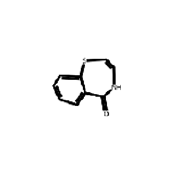 O=C1NC=CSc2ccccc21